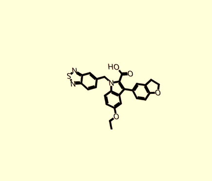 CCOc1ccc2c(c1)c(-c1ccc3c(c1)CCO3)c(C(=O)O)n2Cc1ccc2nsnc2c1